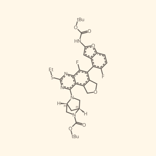 CCSc1nc(N2C[C@H]3C[C@@H]2CN3C(=O)OC(C)(C)C)c2c3c(c(-c4c(F)ccc5oc(NC(=O)OC(C)(C)C)cc45)c(F)c2n1)COC3